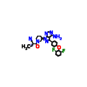 C/C=C(\C#N)C(=O)N1CCC[C@@H](n2nc(-c3ccc(Oc4c(F)cccc4F)cc3)c3c(N)ncnc32)C1